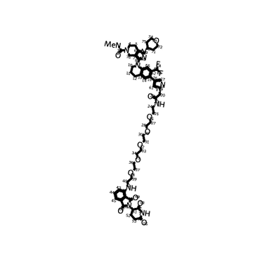 CNC(=O)N1CCc2c(c(N3CCCc4cc(-c5cnn(CC(=O)NCCOCCOCCOCCOCCOCCNc6cccc7c6C(=O)N(C6CCC(=O)NC6=O)C7=O)c5)c(C(F)F)cc43)nn2C2CCOCC2)C1